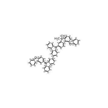 CC1(C)c2cc(-n3c4ccccc4c4cc(-c5ccc6c7ccccc7n(-c7ccc8oc9ccccc9c8c7)c6c5)ccc43)ccc2-c2c1ccc1c2oc2ccccc21